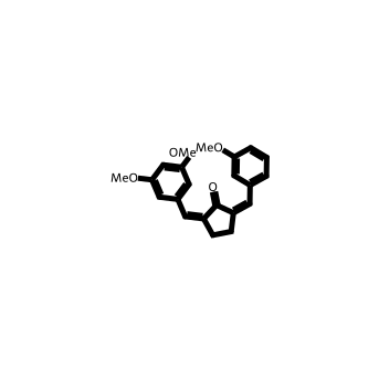 COc1cccc(C=C2CCC(=Cc3cc(OC)cc(OC)c3)C2=O)c1